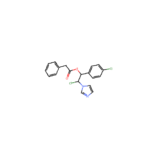 O=C(Cc1ccccc1)OC(c1ccc(Cl)cc1)C(Cl)n1ccnc1